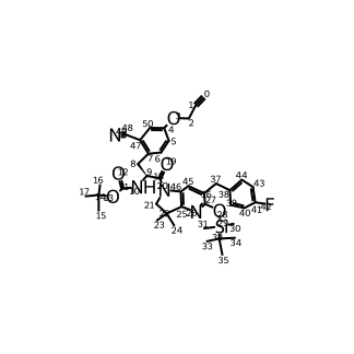 C#CCOc1ccc(C[C@H](NC(=O)OC(C)(C)C)C(=O)N2CC(C)(C)c3nc(O[Si](C)(C)C(C)(C)C)c(Cc4ccc(F)cc4)cc32)c(C#N)c1